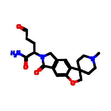 CN1CCC2(CC1)COc1cc3c(cc12)CN(C(CCC=O)C(N)=O)C3=O